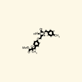 CCCn1c(COc2ccc(CC(C)(C)C(=O)OC)cc2)nn(Cc2ccc(C)cc2)c1=O